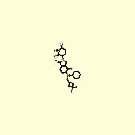 O=C1CCC(N2Cc3c(ccc(N(CC4CC(F)(F)C4)C4CCCCC4)c3F)C2=O)C(=O)N1